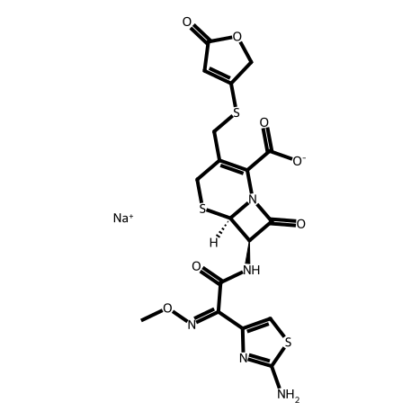 CO/N=C(\C(=O)N[C@@H]1C(=O)N2C(C(=O)[O-])=C(CSC3=CC(=O)OC3)CS[C@H]12)c1csc(N)n1.[Na+]